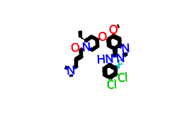 CC[C@@H]1C[C@@H](Oc2cc3c(Nc4ccc(Cl)c(Cl)c4F)ncnc3cc2OC)CCN1C(=O)/C=C/CN(C)C